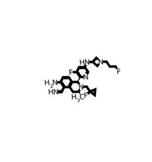 C[C@@H]1Cc2c(ccc(N)c2C=N)[C@@H](c2ncc(NC3CN(CCCF)C3)cc2F)N1CC1(F)CC1